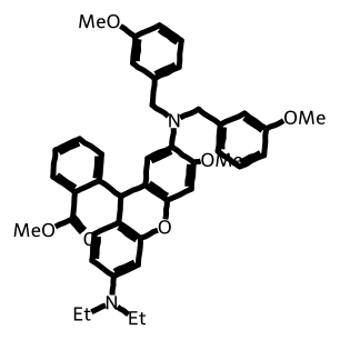 CCN(CC)c1ccc2c(c1)Oc1cc(OC)c(N(Cc3cccc(OC)c3)Cc3cccc(OC)c3)cc1C2c1ccccc1C(=O)OC